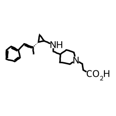 C/C(=C\c1ccccc1)[C@@H]1CC1NCC1CCN(CCC(=O)O)CC1